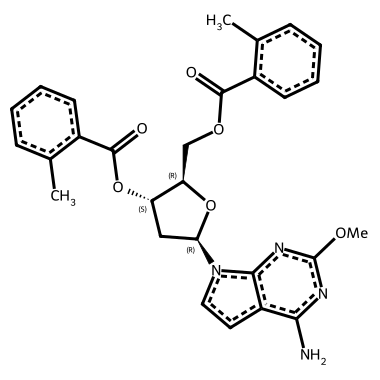 COc1nc(N)c2ccn([C@H]3C[C@H](OC(=O)c4ccccc4C)[C@@H](COC(=O)c4ccccc4C)O3)c2n1